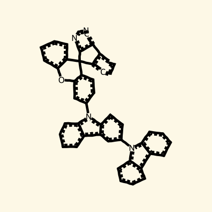 c1ccc2c(c1)Oc1cc(-n3c4ccccc4c4cc(-n5c6ccccc6c6ccccc65)ccc43)ccc1C21c2ccccc2-c2cncnc21